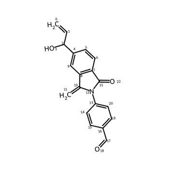 C=CC(O)c1ccc2c(c1)C(=C)N(c1ccc(C=O)cc1)C2=O